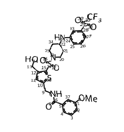 COc1cccc(C(=O)NCc2cc(CO)c(S(=O)(=O)N3CCC(Nc4cccc(S(=O)(=O)C(F)(F)F)c4)CC3)s2)c1